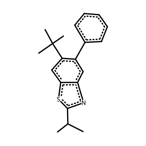 CC(C)c1nc2cc(-c3ccccc3)c(C(C)(C)C)cc2s1